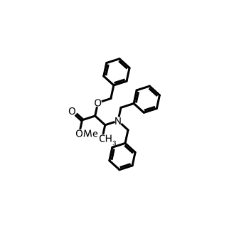 COC(=O)C(OCc1ccccc1)C(C)N(Cc1ccccc1)Cc1ccccc1